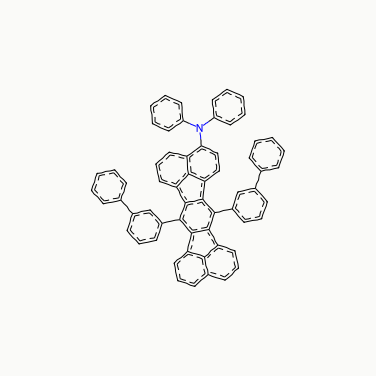 c1ccc(-c2cccc(-c3c4c5cccc6cccc(c4c(-c4cccc(-c7ccccc7)c4)c4c7ccc(N(c8ccccc8)c8ccccc8)c8cccc(c34)c87)c65)c2)cc1